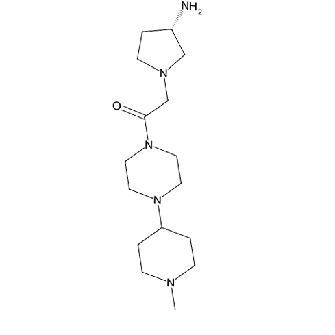 CN1CCC(N2CCN(C(=O)CN3CC[C@H](N)C3)CC2)CC1